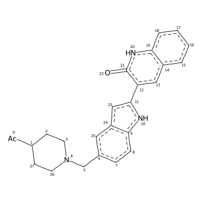 CC(=O)C1CCN(Cc2ccc3[nH]c(-c4cc5ccccc5[nH]c4=O)cc3c2)CC1